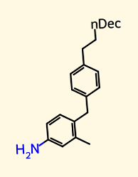 CCCCCCCCCCCCc1ccc(Cc2ccc(N)cc2C)cc1